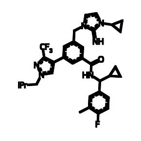 Cc1cc(C(NC(=O)c2cc(Cn3ccn(C4CC4)c3=N)cc(-c3cn(CC(C)C)nc3C(F)(F)F)c2)C2CC2)ccc1F